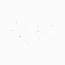 CC(=O)c1cnc(S(=O)(=O)c2ccccc2)n1C